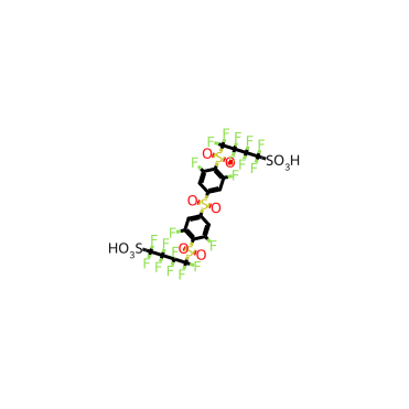 O=S(=O)(c1cc(F)c(S(=O)(=O)C(F)(F)C(F)(F)C(F)(F)C(F)(F)S(=O)(=O)O)c(F)c1)c1cc(F)c(S(=O)(=O)C(F)(F)C(F)(F)C(F)(F)C(F)(F)S(=O)(=O)O)c(F)c1